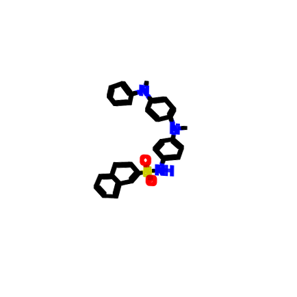 CN(c1ccccc1)c1ccc(N(C)c2ccc(NS(=O)(=O)c3ccc4ccccc4c3)cc2)cc1